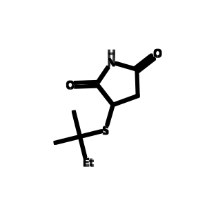 CCC(C)(C)SC1CC(=O)NC1=O